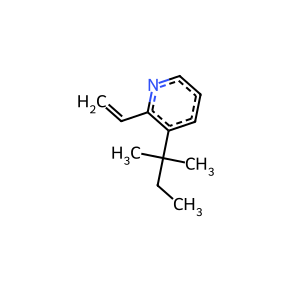 C=Cc1ncccc1C(C)(C)CC